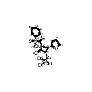 CC[Si](CC)(CC)O[C@H]1C(=O)N(C(=O)[N+]([S-])(c2ccccc2)C(C)(C)C)[C@H]1c1ccco1